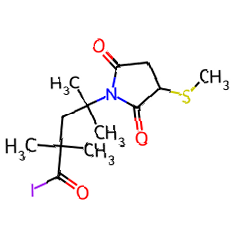 CSC1CC(=O)N(C(C)(C)CC(C)(C)C(=O)I)C1=O